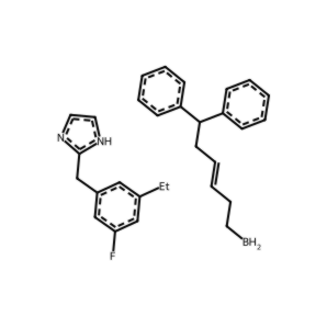 BCCC=CCC(c1ccccc1)c1ccccc1.CCc1cc(F)cc(Cc2ncc[nH]2)c1